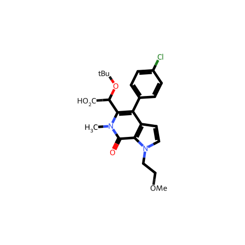 COCCn1ccc2c(-c3ccc(Cl)cc3)c(C(OC(C)(C)C)C(=O)O)n(C)c(=O)c21